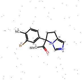 COC(=O)C1(c2ccc(C#N)c(Br)c2)CCc2cncn21